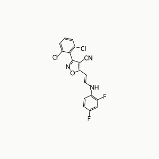 N#Cc1c(-c2c(Cl)cccc2Cl)noc1C=CNc1ccc(F)cc1F